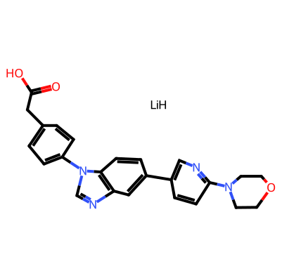 O=C(O)Cc1ccc(-n2cnc3cc(-c4ccc(N5CCOCC5)nc4)ccc32)cc1.[LiH]